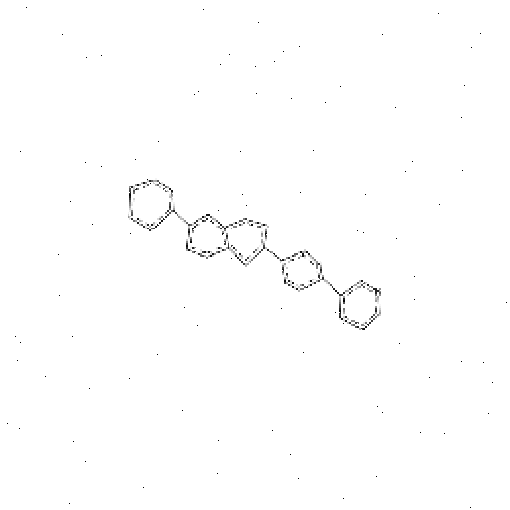 c1ccc(-c2ccc3cc(-c4ccc(-c5cccnc5)nc4)ccc3c2)cc1